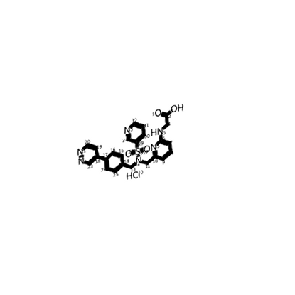 Cl.O=C(O)CNc1cccc(CN(Cc2ccc(-c3ccnnc3)cc2)S(=O)(=O)c2cccnc2)n1